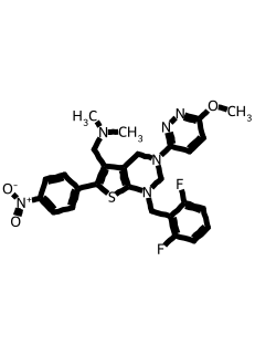 COc1ccc(N2Cc3c(sc(-c4ccc([N+](=O)[O-])cc4)c3CN(C)C)N(Cc3c(F)cccc3F)C2)nn1